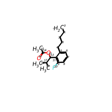 [CH2]CCCCc1cccc(F)c1C(OC(C)=O)C(C)C